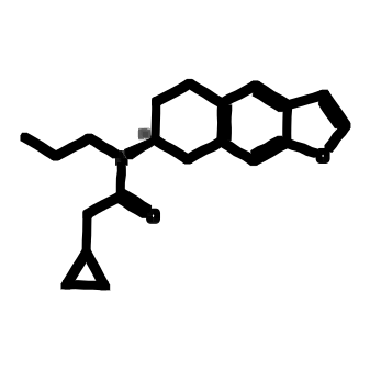 CCCN(C(=O)CC1CC1)[C@H]1CCc2cc3ccoc3cc2C1